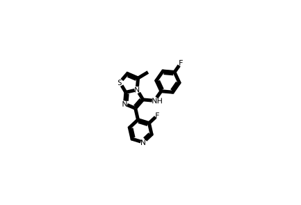 Cc1csc2nc(-c3ccncc3F)c(Nc3ccc(F)cc3)n12